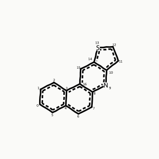 c1ccc2c(c1)ccc1nc3ccsc3cc12